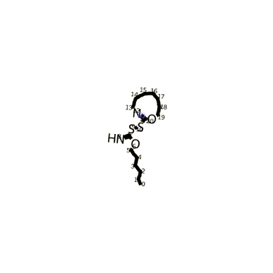 CCCCCCOC(=N)SS/C1=N/CCCCCCCO1